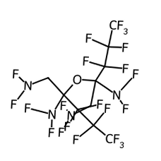 FN(F)CC(OC(CN(F)F)(N(F)F)C(F)(F)C(F)(F)C(F)(F)F)(N(F)F)C(F)(F)C(F)(F)C(F)(F)F